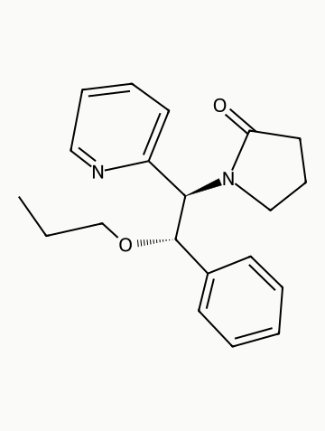 CCCO[C@@H](c1ccccc1)[C@@H](c1ccccn1)N1CCCC1=O